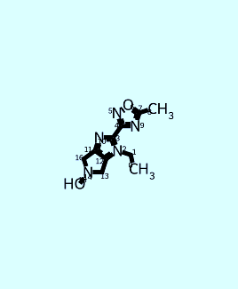 CCn1c(-c2noc(C)n2)nc2c1CN(O)C2